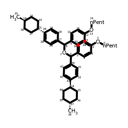 CCCCCOc1ccc(C(OC(c2ccc(OCCCCC)cc2)c2ccc([C@H]3CC[C@H](C)CC3)cc2)c2ccc([C@H]3CC[C@H](C)CC3)cc2)cc1